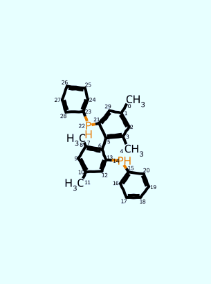 Cc1cc(C)c(-c2c(C)cc(C)cc2Pc2ccccc2)c(Pc2ccccc2)c1